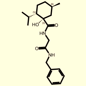 CC(C)[C@@H]1CC[C@@H](C)C[C@@]1(O)C(=O)NCC(=O)NCc1ccccc1